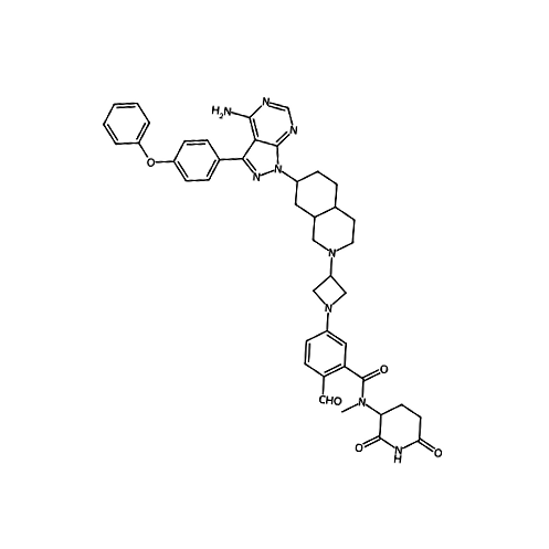 CN(C(=O)c1cc(N2CC(N3CCC4CCC(n5nc(-c6ccc(Oc7ccccc7)cc6)c6c(N)ncnc65)CC4C3)C2)ccc1C=O)C1CCC(=O)NC1=O